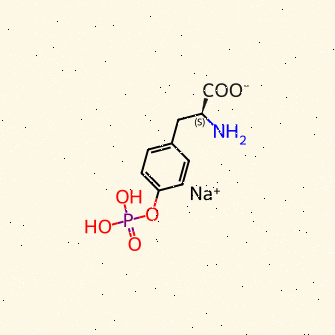 N[C@@H](Cc1ccc(OP(=O)(O)O)cc1)C(=O)[O-].[Na+]